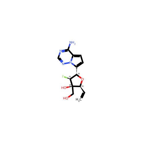 C=C[C@@H]1O[C@@H](c2ccc3c(N)ncnn23)[C@H](F)[C@@]1(O)CO